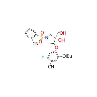 CC(C)COc1cc(C#N)c(F)cc1O[C@H]1CN(S(=O)(=O)c2ccccc2C#N)C[C@@]1(O)CO